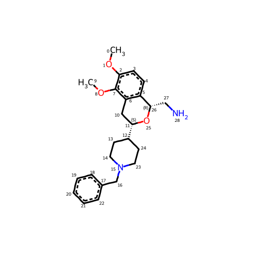 COc1ccc2c(c1OC)C[C@@H](C1CCN(Cc3ccccc3)CC1)O[C@H]2CN